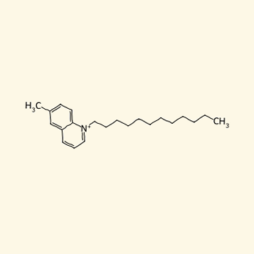 CCCCCCCCCCCC[n+]1cccc2cc(C)ccc21